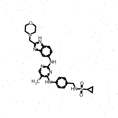 Cc1cnc(Nc2ccc3[nH]c(CN4CCOCC4)nc3c2)nc1Nc1ccc(CNS(=O)(=O)C2CC2)cc1